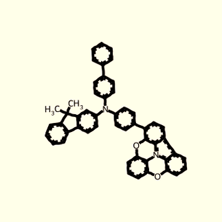 CC1(C)c2ccccc2-c2ccc(N(c3ccc(-c4ccccc4)cc3)c3ccc(-c4ccc5c6cccc7c6n6c5c4Oc4cccc(c4-6)O7)cc3)cc21